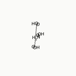 NCC(=O)O.O=C(O)CCCCCCCCCCCCCCCCCCCCCCC(=O)O